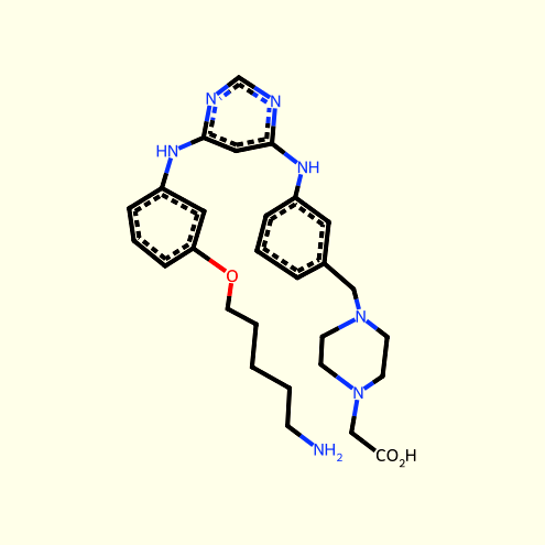 NCCCCCOc1cccc(Nc2cc(Nc3cccc(CN4CCN(CC(=O)O)CC4)c3)ncn2)c1